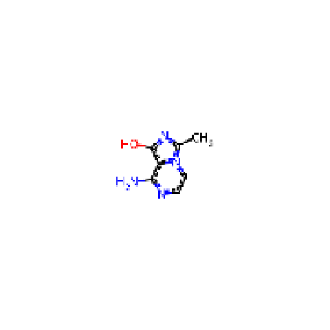 Cc1nc(O)c2c(N)nccn12